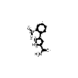 NC(=O)c1cc(-c2ccccc2[N+](=O)[O-])n[nH]1